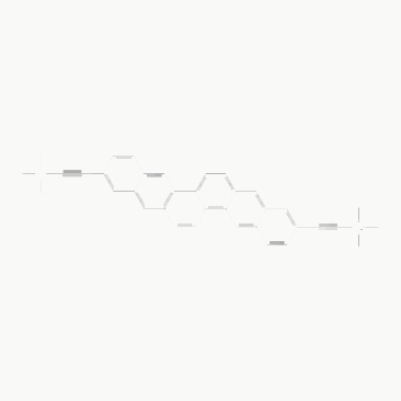 C[Si](C)(C)C#Cc1ccc2cc3c(ccc4c5cc6ccc(C#C[Si](C)(C)C)cc6cc5ccc34)cc2c1